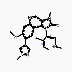 C/C=C(C)\C(=C/NC)n1c(=O)n(C)c2cnc3cc(OC)c(-c4cnn(C)c4)cc3c21